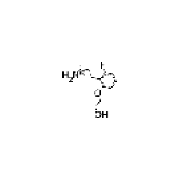 C[C@@H](N)CCc1c(F)cccc1OCCO